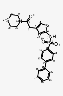 O=C(Cc1csc(NS(=O)(=O)c2ccc(-c3ccccc3)cc2)n1)N1CCSCC1